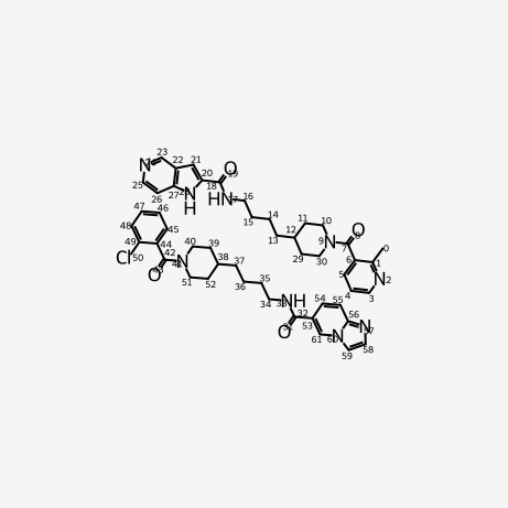 Cc1ncccc1C(=O)N1CCC(CCCCNC(=O)c2cc3cnccc3[nH]2)CC1.O=C(NCCCCC1CCN(C(=O)c2ccccc2Cl)CC1)c1ccc2nccn2c1